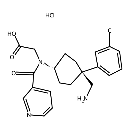 Cl.NC[C@]1(c2cccc(Cl)c2)CC[C@@H](N(CC(=O)O)C(=O)c2cccnc2)CC1